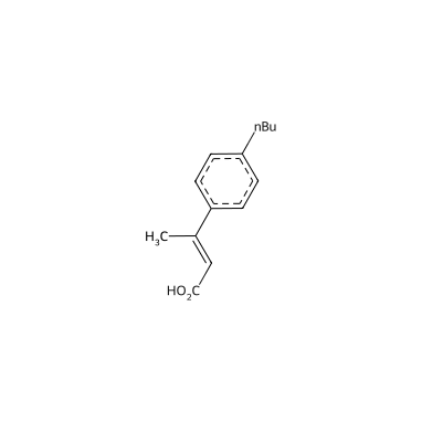 CCCCc1ccc(C(C)=CC(=O)O)cc1